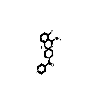 NC1=NC2(CCN(C(=O)c3ccncc3)CC2)Nc2cccc(F)c21